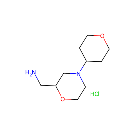 Cl.NCC1CN(C2CCOCC2)CCO1